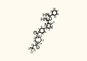 Cc1ncc(-c2ccc(C(=O)N3CCCN(C(=O)CC(C)(C)C)CC3)cc2)nc1C(=N)OC(=N)c1ccccc1